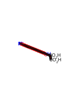 [N-]=[N+]=NCCOCCOCCOCCOCCOCCOCCOCCOCCOCCOCCOCCOCCOCCOCCOCCOCCOCCOCCOCCOCCOCCOCCOCCNC(=O)CCCCCCCCCCC(CCCCCCCCCCC(=O)O)C(=O)O